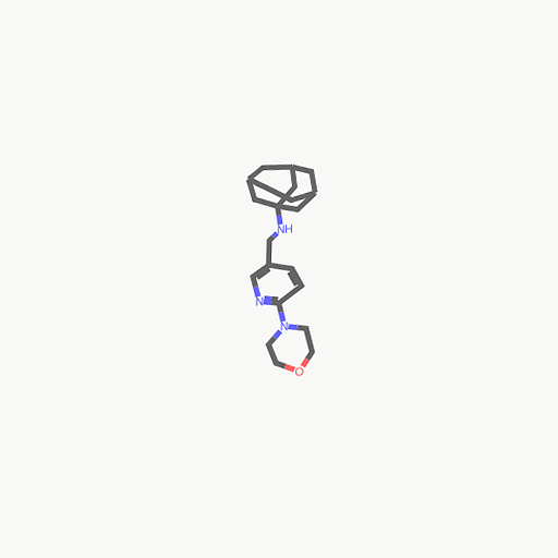 c1cc(N2CCOCC2)ncc1CNC12CC3CC(CC(C3)C1)C2